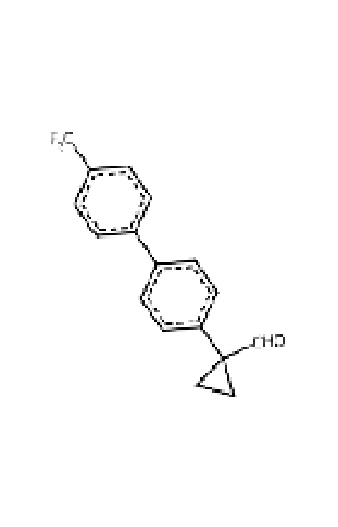 O=CC1(c2ccc(-c3ccc(C(F)(F)F)cc3)cc2)CC1